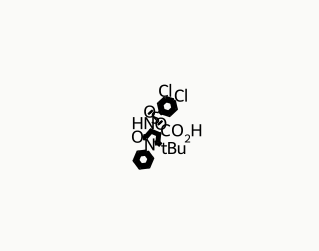 CC(C)(C)C1[C@H](C(=O)O)[C@H](NS(=O)(=O)c2ccc(Cl)c(Cl)c2)C(=O)N1c1ccccc1